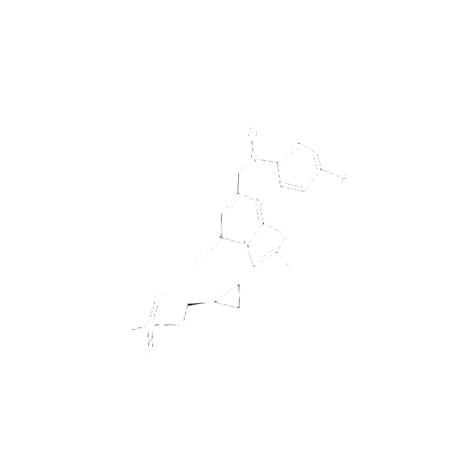 CCN(Cc1cc(=O)n2c([C@@H]3C[C@H]3COS(C)(=O)=O)c(C)sc2n1)c1ccc(F)cc1